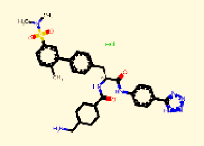 Cc1ccc(S(=O)(=O)N(C)C)cc1-c1ccc(C[C@H](NC(=O)C2CCC(CN)CC2)C(=O)Nc2ccc(-c3nnn[nH]3)cc2)cc1.Cl